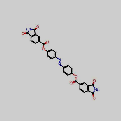 O=C(Oc1ccc(N=Nc2ccc(OC(=O)c3ccc4c(c3)C(=O)NC4=O)cc2)cc1)c1ccc2c(c1)C(=O)NC2=O